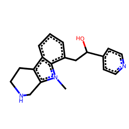 Cn1c2c(c3cccc(CC(O)c4ccncc4)c31)CCNC2